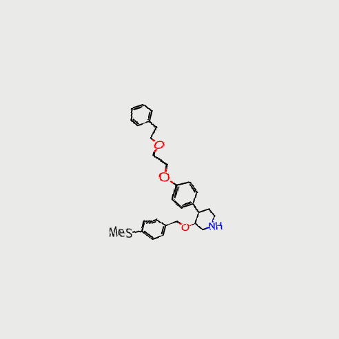 CSc1ccc(COC2CNCCC2c2ccc(OCCOCCc3ccccc3)cc2)cc1